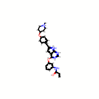 C=CC(=O)Nc1cccc(Oc2ncnc3[nH]c(-c4ccc(OC5CCN(C)CC5)cc4)cc23)c1